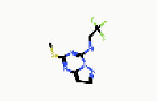 CSc1nc(NCC(F)(F)F)n2nccc2n1